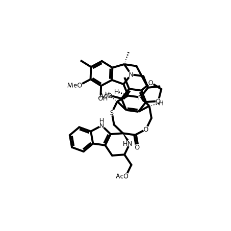 COc1c(C)cc2c(c1O)C1[C@@H]3[C@@H]4SC[C@]5(NC(COC(C)=O)Cc6c5[nH]c5ccccc65)C(=O)OC[C@@H](c5c6c(c(C)c(OC(C)=O)c54)OCO6)N3C3(C)CN1[C@]2(C)C3